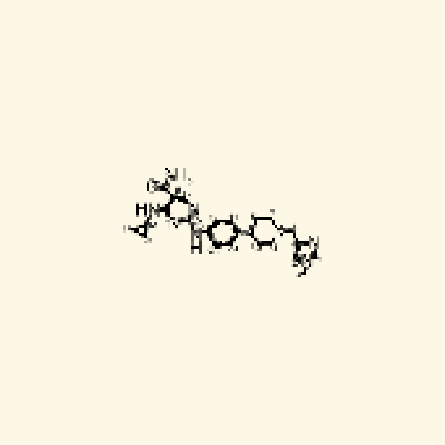 Cn1cnc(CN2CCC(c3ccc(Nc4ncc(C(N)=O)c(NC5CC5)n4)cc3)CC2)c1